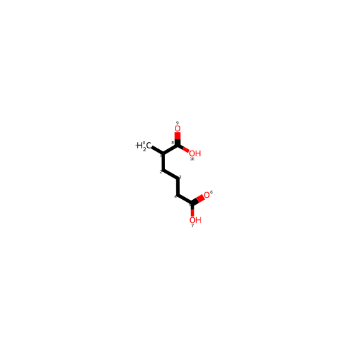 [CH2]C(CCCC(=O)O)C(=O)O